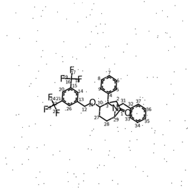 O=C1CC2(c3ccccc3)C(OCc3cc(C(F)(F)F)cc(C(F)(F)F)c3)CCC1N2Cc1ccccc1